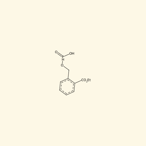 CCOC(=O)c1ccccc1CO[PH](=O)O